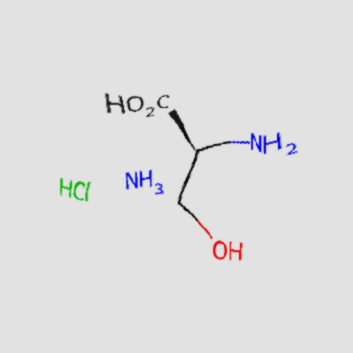 Cl.N.N[C@@H](CO)C(=O)O